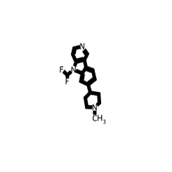 CN1CCC(c2ccc3c4cnccc4n(C(F)F)c3c2)CC1